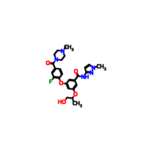 C[C@@H](CO)Oc1cc(Oc2ccc(C(=O)N3CCN(C)CC3)cc2F)cc(C(=O)Nc2ccn(C)n2)c1